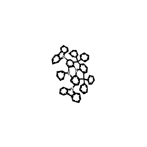 c1ccc(B2c3cc(-n4c5ccccc5c5ccccc54)cc4c3N3c5c2cc(-n2c6ccccc6c6ccccc62)cc5C(c2ccccc2)(c2ccccc2)c2cccc(c23)C4(c2ccccc2)c2ccccc2)cc1